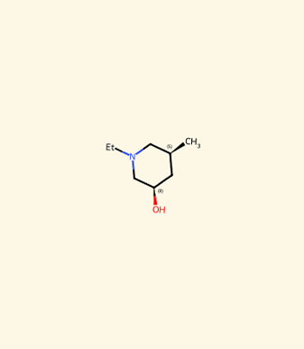 CCN1C[C@@H](C)C[C@@H](O)C1